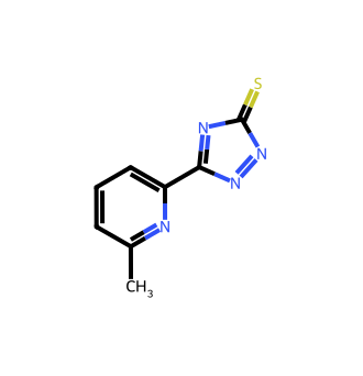 Cc1cccc(C2=NC(=S)N=N2)n1